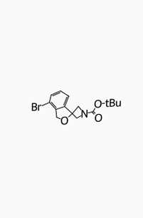 CC(C)(C)OC(=O)N1CC2(C1)OCc1c(Br)cccc12